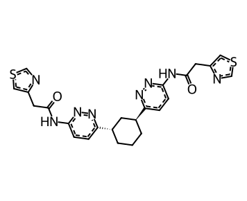 O=C(Cc1cscn1)Nc1ccc([C@H]2CCC[C@H](c3ccc(NC(=O)Cc4cscn4)nn3)C2)nn1